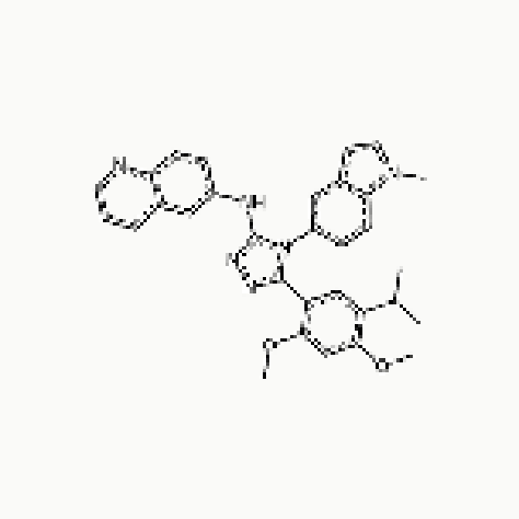 COc1cc(OC)c(C(C)C)cc1-c1nnc(Nc2ccc3ncccc3c2)n1-c1ccc2c(ccn2C)c1